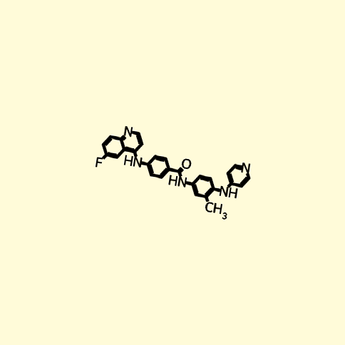 Cc1cc(NC(=O)c2ccc(Nc3ccnc4ccc(F)cc34)cc2)ccc1Nc1ccncc1